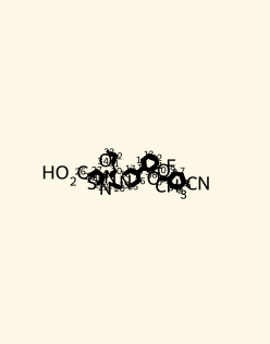 CC1(c2ccc(C#N)cc2F)Oc2cccc(C3=CCN(Cc4nc5sc(C(=O)O)cc5n4C[C@@H]4CCO4)CC3)c2O1